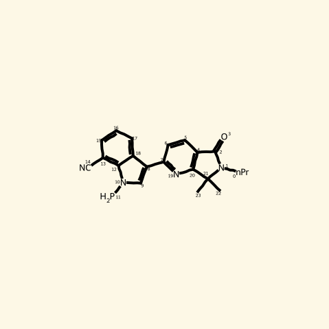 CCCN1C(=O)c2ccc(-c3cn(P)c4c(C#N)cccc34)nc2C1(C)C